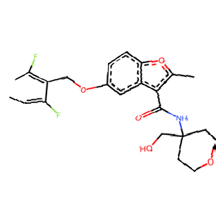 C/C=C(F)\C(COc1ccc2oc(C)c(C(=O)NC3(CO)CCOCC3)c2c1)=C(/C)F